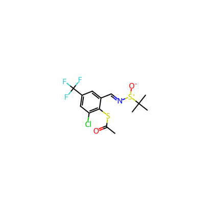 CC(=O)Sc1c(Cl)cc(C(F)(F)F)cc1C=N[S+]([O-])C(C)(C)C